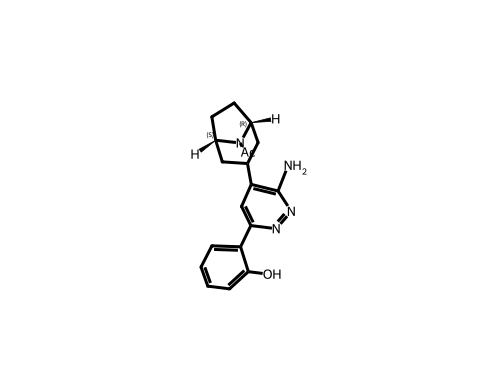 CC(=O)N1[C@@H]2CC[C@H]1CC(c1cc(-c3ccccc3O)nnc1N)C2